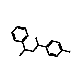 CC(CC(C)c1ccc(F)cc1)c1ccccc1